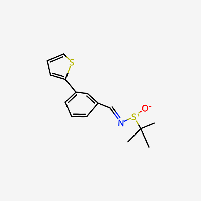 CC(C)(C)[S+]([O-])N=Cc1cccc(-c2cccs2)c1